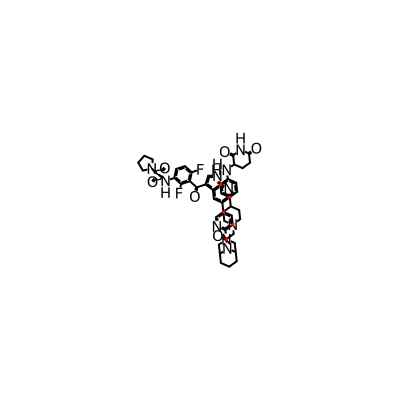 O=C1CCC(Nc2ccc(C3CCN(CC(=O)N4C5CCCC4CN(c4ccc(-c6cnc7[nH]cc(C(=O)c8c(F)ccc(NS(=O)(=O)N9CCCC9)c8F)c7c6)cn4)C5)CC3)cc2)C(=O)N1